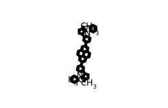 CC1CCC2c3cc(-c4cc5ccc6cc(-c7ccc8c(c7)C7CCC(C)C7(C)N8c7ccccc7)cc7ccc(c4)c5c67)ccc3N(c3ccccc3)C12C